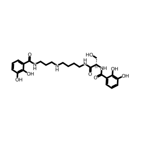 O=C(NCCCNCCCCNC(=O)[C@H](CO)NC(=O)c1cccc(O)c1O)c1cccc(O)c1O